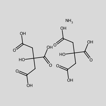 N.O=C(O)CC(O)(CC(=O)O)C(=O)O.O=C(O)CC(O)(CC(=O)O)C(=O)O